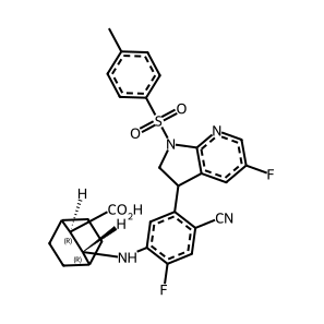 Cc1ccc(S(=O)(=O)N2CC(c3cc(N[C@@H]4C5CCC(CC5)[C@H]4C(=O)O)c(F)cc3C#N)c3cc(F)cnc32)cc1